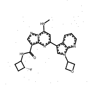 CNc1cc(-c2cn(C3COC3)c3ncccc23)nc2c(C(=O)NC3CC[C@H]3F)cnn12